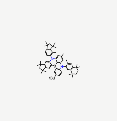 Cc1cc2c3c(c1)N(c1ccc4c(c1C)C(C)(C)CC4(C)C)c1cc4c(cc1B3c1cc(C(C)(C)C)ccc1N2c1cc2c(cc1C)C(C)(C)CCC2(C)C)C(C)(C)CC4(C)C